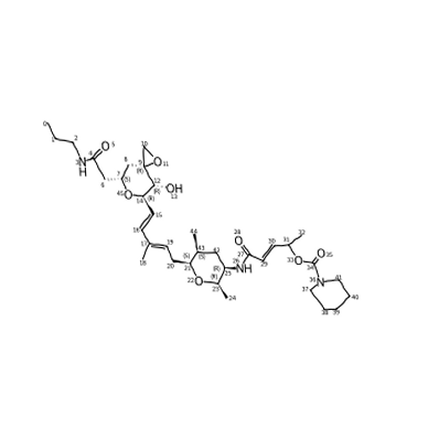 CCCNC(=O)C[C@@H]1C[C@@]2(CO2)[C@H](O)[C@@H](C=CC(C)=CC[C@@H]2O[C@H](C)[C@H](NC(=O)C=CC(C)OC(=O)N3CCCCC3)C[C@@H]2C)O1